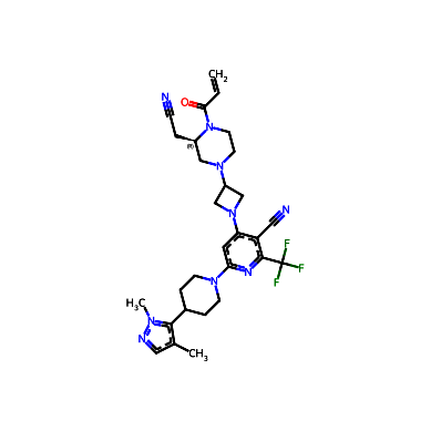 C=CC(=O)N1CCN(C2CN(c3cc(N4CCC(c5c(C)cnn5C)CC4)nc(C(F)(F)F)c3C#N)C2)C[C@H]1CC#N